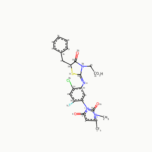 Cn1c(C(F)(F)F)cc(=O)n(-c2cc(/N=C3\SC(Cc4ccccc4)C(=O)N3CC(=O)O)c(Cl)cc2F)c1=O